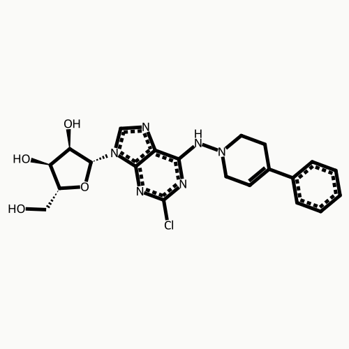 OC[C@H]1O[C@@H](n2cnc3c(NN4CC=C(c5ccccc5)CC4)nc(Cl)nc32)[C@H](O)[C@@H]1O